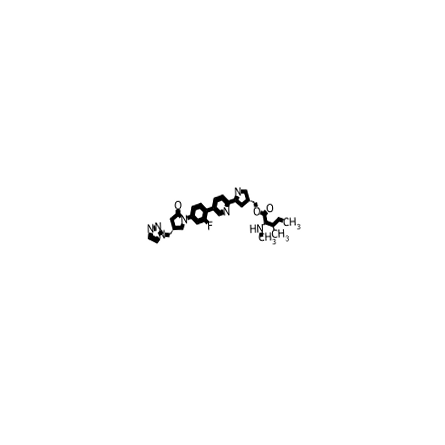 CC[C@H](C)[C@H](NC)C(=O)OC[C@H]1CN=C(c2ccc(-c3ccc(N4C[C@H](Cn5ccnn5)CC4=O)cc3F)cn2)C1